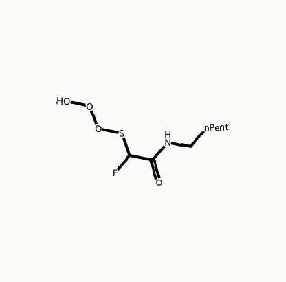 CCCCCCNC(=O)C(F)SOOO